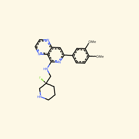 COc1ccc(-c2cc3nccnc3c(NC[C@]3(F)CCCNC3)n2)cc1OC